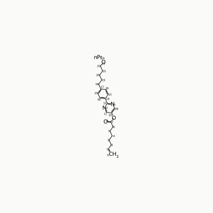 C=CCCCCCC(=O)Oc1cnc(-c2ccc(CCCCCOCCC)cc2)nc1